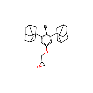 CCc1c(C23CC4CC(CC(C4)C2)C3)cc(OCC2CO2)cc1C12CC3CC(CC(C3)C1)C2